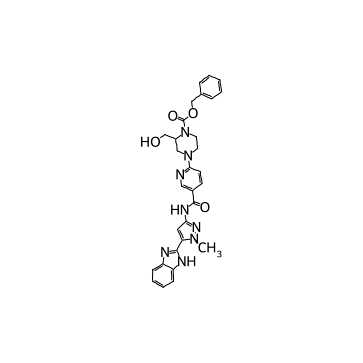 Cn1nc(NC(=O)c2ccc(N3CCN(C(=O)OCc4ccccc4)C(CO)C3)nc2)cc1-c1nc2ccccc2[nH]1